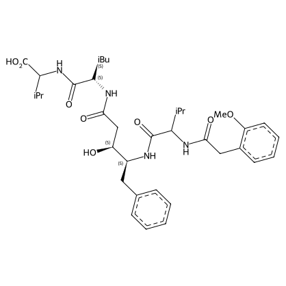 CC[C@H](C)[C@H](NC(=O)C[C@H](O)[C@H](Cc1ccccc1)NC(=O)C(NC(=O)Cc1ccccc1OC)C(C)C)C(=O)NC(C(=O)O)C(C)C